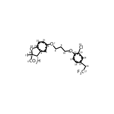 O=C(O)[C@]1(I)Cc2cc(OCCCOc3ccc(CC(F)(F)F)cc3Cl)ccc2O1